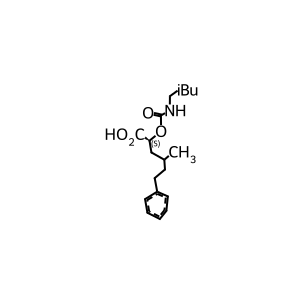 CCC(C)CNC(=O)O[C@@H](CC(C)CCc1ccccc1)C(=O)O